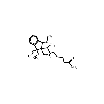 COC1c2ccccc2C(OC)(OC)C1(OC)C(C)CCCCCC(N)=O